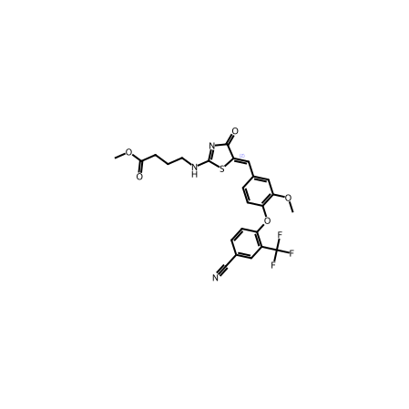 COC(=O)CCCNC1=NC(=O)/C(=C/c2ccc(Oc3ccc(C#N)cc3C(F)(F)F)c(OC)c2)S1